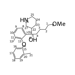 COCCCC[C@@](O)(c1cccc(C)c1Oc1ccccc1C)C1CCCNC1